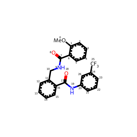 COc1ccccc1C(=O)NCc1ccccc1C(=O)Nc1cccc(C(F)(F)F)c1